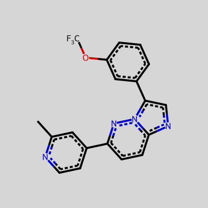 Cc1cc(-c2ccc3ncc(-c4cccc(OC(F)(F)F)c4)n3n2)ccn1